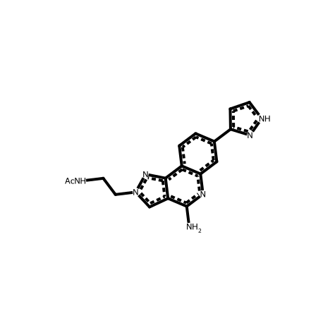 CC(=O)NCCn1cc2c(N)nc3cc(-c4cc[nH]n4)ccc3c2n1